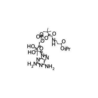 CC(C)OC(=O)CCNC(=O)[C@@H]1OP(=O)(OC[C@H]2O[C@@H](n3cnc4c(N)nc(N)nc43)C(C)(O)[C@H]2O)OCC1(C)C